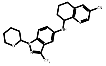 N#Cc1cnc2c(c1)CCCC2Nc1ccc2c(c1)c(C(F)(F)F)nn2C1CCCCO1